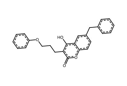 O=c1oc2ccc(Cc3ccccc3)cc2c(O)c1CCCOc1ccccc1